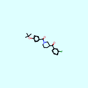 CC(C)(C)Oc1ccc(C(=O)N2CCCC(C(=O)c3cccc(F)c3)C2)cc1